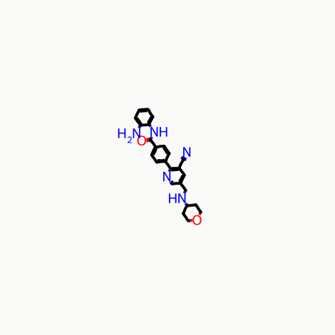 N#Cc1cc(CNC2CCOCC2)cnc1-c1ccc(C(=O)Nc2ccccc2N)cc1